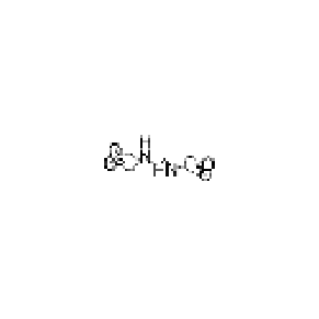 O=S1(=O)CCC(NCCNC2CCS(=O)(=O)C2)C1